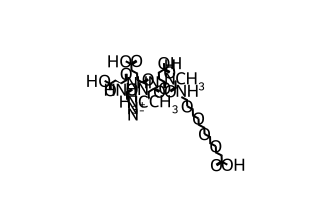 CC(C)[C@H](NC(=O)C(CCC(=O)O)NC(=O)[C@H](CC(=O)O)NC(=O)CN=[N+]=[N-])C(=O)NC(CC(=O)O)C(=O)N[C@@H](C)C(=O)NCCOCCOCCOCCOCCC(=O)O